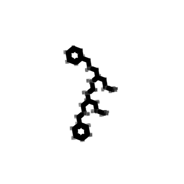 CC(C)OCC(COCc1ccccc1)OCOC(COCc1ccccc1)COC(C)C